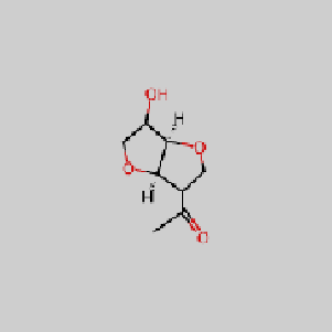 CC(=O)C1CO[C@@H]2C(O)CO[C@H]12